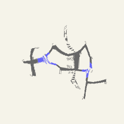 CC(C)N1CC[C@@H]2CN(C(C)(C)C)C[C@@H]21